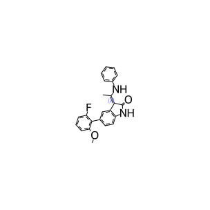 COc1cccc(F)c1-c1ccc2c(c1)/C(=C(\C)Nc1ccccc1)C(=O)N2